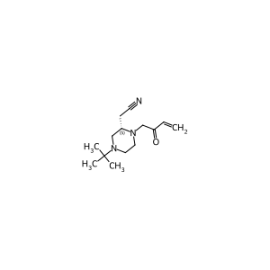 C=CC(=O)CN1CCN(C(C)(C)C)C[C@@H]1CC#N